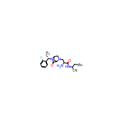 CCC(C)CC(C#N)NC(=O)C(N)CN1CC2CC1C(=O)N2[C@@H](C)c1ccccc1F